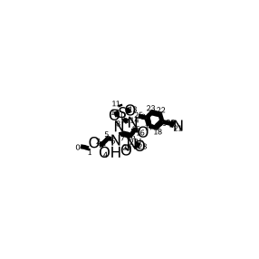 CCOC(=O)CNc1nc(S(C)(=O)=O)nc(Oc2cc(C#N)ccc2C)c1[N+](=O)[O-]